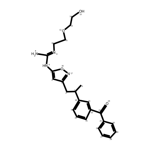 CC(Cc1cc(NC(N)=NCCOCCO)on1)c1cccc(C(=O)c2ccccc2)c1